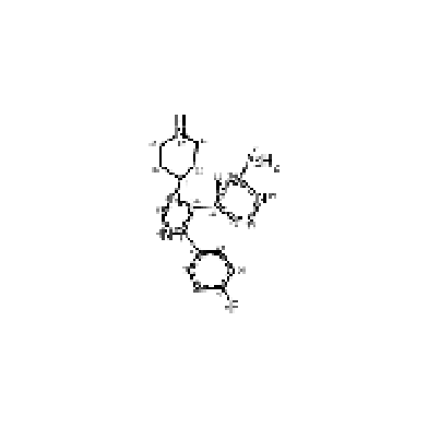 Fc1ccc(-c2ncn(C3CCNCC3)c2-c2ccnc([AsH2])n2)cc1